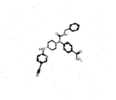 N#Cc1ccc(N[C@H]2CC[C@H](N(C(=O)NCc3ccccc3)c3ccc(C(N)=O)cc3)CC2)nc1